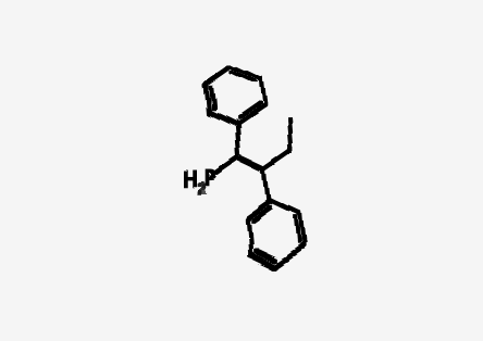 CCC(c1ccccc1)C(P)c1ccccc1